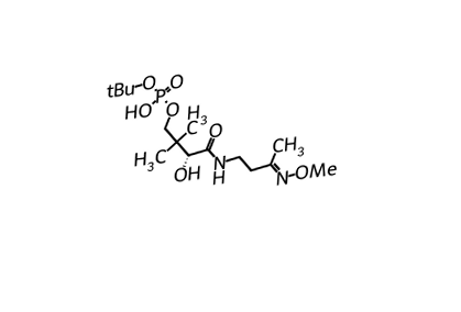 CO/N=C(\C)CCNC(=O)[C@H](O)C(C)(C)COP(=O)(O)OC(C)(C)C